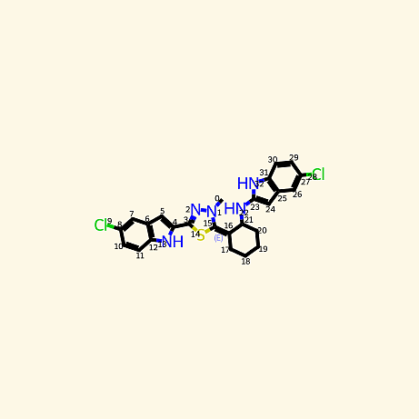 CN1N=C(c2cc3cc(Cl)ccc3[nH]2)S/C1=C1\CCCCC1Nc1cc2cc(Cl)ccc2[nH]1